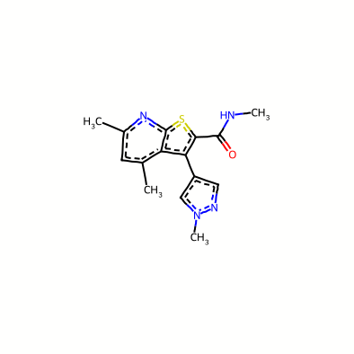 CNC(=O)c1sc2nc(C)cc(C)c2c1-c1cnn(C)c1